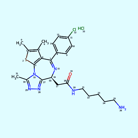 Cc1sc2c(c1C)C(c1ccc(Cl)cc1)=N[C@@H](CC(=O)NCCCCCN)c1nnc(C)n1-2.Cl